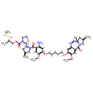 C=C1C[C@H]2C=Nc3cc(OCCCCCOc4cc(N)c(C(=O)N5CC(=C)C[C@H]5[C@H]5OCCN5C(=O)OCC(C)SSC)cc4OC)c(OC)cc3C(=O)N2C1